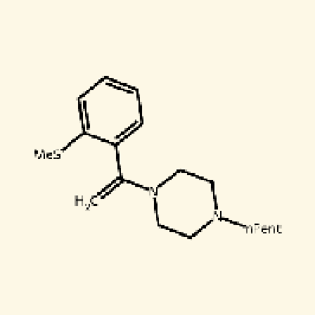 C=C(c1ccccc1SC)N1CCN(CCCCC)CC1